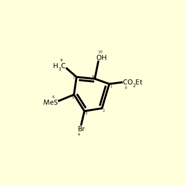 CCOC(=O)c1cc(Br)c(SC)c(C)c1O